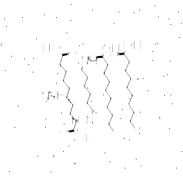 CCCCCCCCCC(=O)O.CCCCCCCCCC(=O)O.N.N.NCCCCCCN.O=C(O)CCCCCCCCC(=O)O